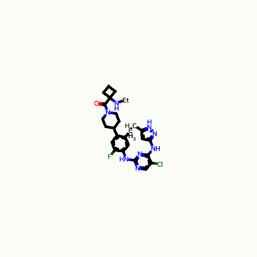 CCNC1(C(=O)N2CCC(c3cc(F)c(Nc4ncc(Cl)c(Nc5cc(C)[nH]n5)n4)cc3C)CC2)CCC1